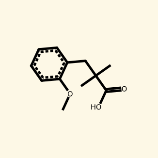 COc1ccccc1CC(C)(C)C(=O)O